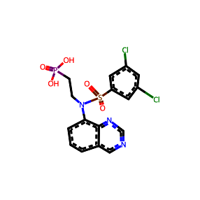 O=P(O)(O)CCN(c1cccc2cncnc12)S(=O)(=O)c1cc(Cl)cc(Cl)c1